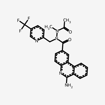 CC(=O)N(C)N(Cc1ccc(C(F)(F)F)cn1)C(=O)c1ccc2nc(N)c3ccccc3c2c1